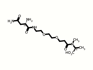 C[C@@H](C(=O)O)N(C)C(=O)CCOCCOCCNC(=O)[C@@H](N)CC(N)=O